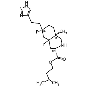 CC(C)CCOC(=O)[C@@H]1CC2(I)C[C@@](F)(CCc3nn[nH]n3)CC[C@]2(C)CN1